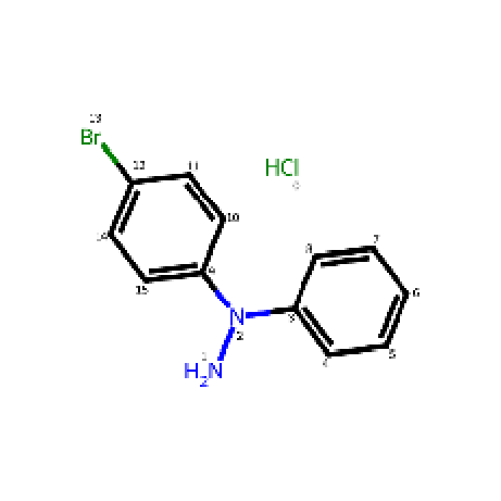 Cl.NN(c1ccccc1)c1ccc(Br)cc1